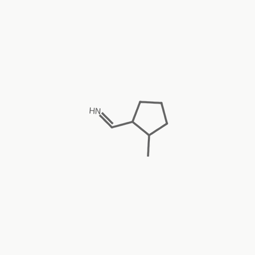 CC1CCCC1C=N